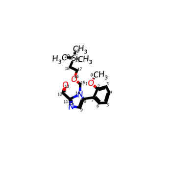 COc1ccccc1-c1cnc(C=O)n1COCC[Si](C)(C)C